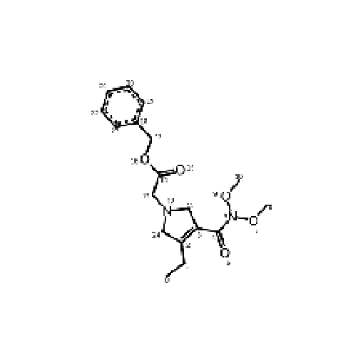 CCC1=C(C(=O)N(OC)OC)CN(CC(=O)OCc2ccccc2)C1